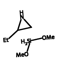 CCC1CN1.CO[SiH2]OC